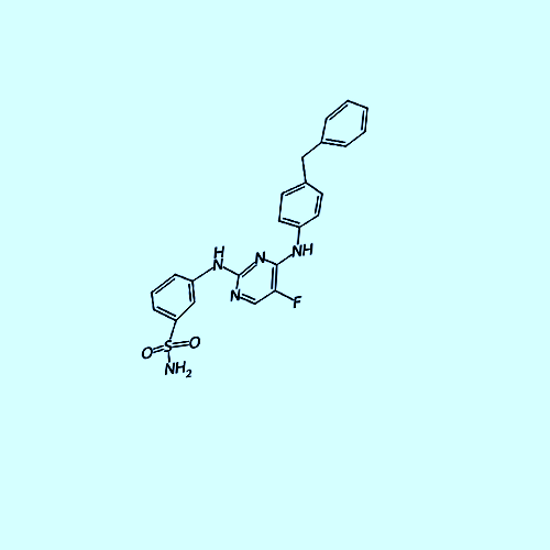 NS(=O)(=O)c1cccc(Nc2ncc(F)c(Nc3ccc(Cc4ccccc4)cc3)n2)c1